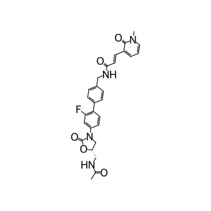 CC(=O)NC[C@H]1CN(c2ccc(-c3ccc(CNC(=O)/C=C/c4cccn(C)c4=O)cc3)c(F)c2)C(=O)O1